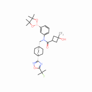 CC(C)(F)c1nc([C@]23CC[C@](CN(C(=O)C4CC(O)(C(F)(F)F)C4)c4cccc(B5OC(C)(C)C(C)(C)O5)c4)(CC2)CC3)no1